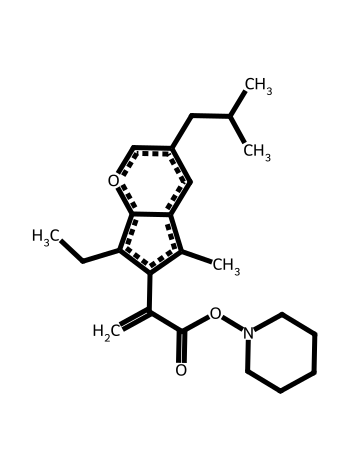 C=C(C(=O)ON1CCCCC1)c1c(C)c2cc(CC(C)C)coc-2c1CC